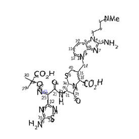 CNCCCn1c(N)nc2c1ccc[n+]2CC1=C(C(=O)O)N2C(=O)[C@@H](NC(=O)/C(=N\OC(C)(C)C(=O)O)c3nsc(N)n3)C2SC1